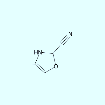 N#CC1N[C]=CO1